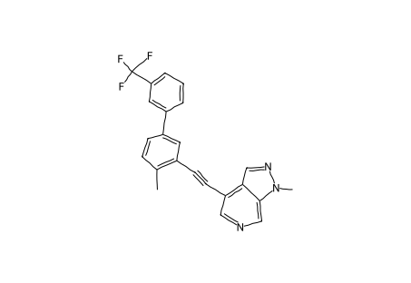 Cc1ccc(-c2cccc(C(F)(F)F)c2)cc1C#Cc1cncc2c1cnn2C